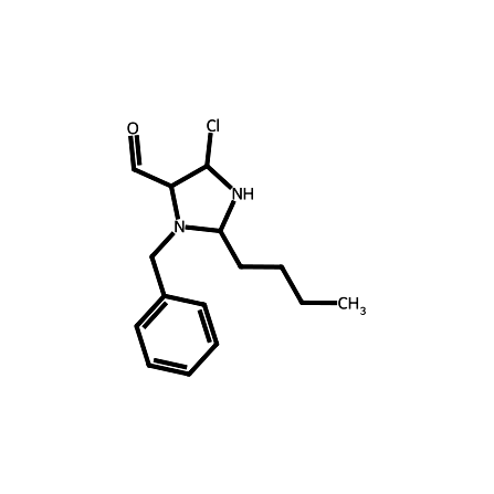 CCCCC1NC(Cl)C(C=O)N1Cc1ccccc1